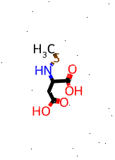 CSNC(CC(=O)O)C(=O)O